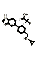 O=C(O)C(F)(F)F.c1nc2cc(-c3ccc(CNC4CC4)cc3)ccc2[nH]1